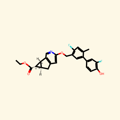 CCOC(=O)[C@H]1[C@@H]2Cc3cc(OCc4cc(-c5ccc(O)c(F)c5)c(C)cc4F)ncc3[C@@H]21